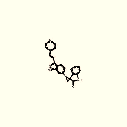 O=C1Nc2ccccc2C12C[C@H]2c1ccc2c(/C=C/c3ccncc3)n[nH]c2c1